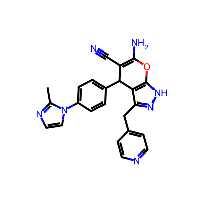 Cc1nccn1-c1ccc(C2C(C#N)=C(N)Oc3[nH]nc(Cc4ccncc4)c32)cc1